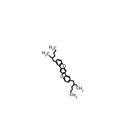 CCCCC(CC)Cc1ccc2oc3cc4c(cc3c2c1)oc1ccc(CC(CC)CCCC)cc14